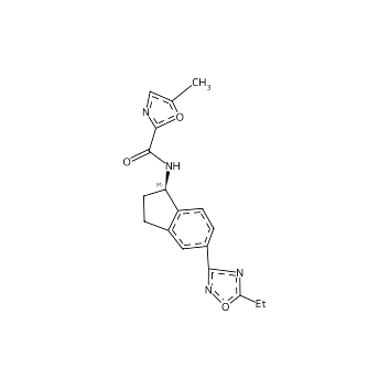 CCc1nc(-c2ccc3c(c2)CC[C@H]3NC(=O)c2ncc(C)o2)no1